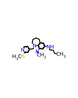 C=Nc1cc(NCCCC)cc2c1N(Cc1ccnc(SC)c1)CCCC2